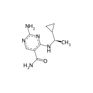 C[C@@H](Nc1nc(N)ncc1C(N)=O)C1CC1